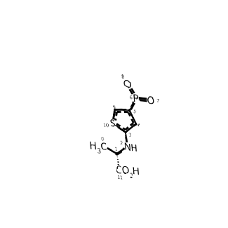 C[C@H](Nc1cc(P(=O)=O)cs1)C(=O)O